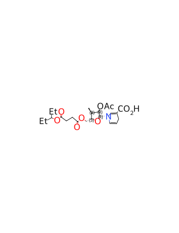 CCC(CC)OC(=O)CCC(=O)OC[C@H]1O[C@@H](N2C=CCC(C(=O)O)=C2)[C@H](OC(C)=O)[C@@H]1C